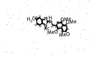 COc1ccc(OC)c2c(OC)c(CNc3nc4cc(C)ccc4n3C(C)=O)cc(OC)c12